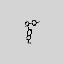 Bc1nc2ccc(-c3ocnc3-c3ccc(F)cc3)cc2s1